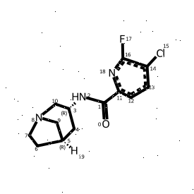 O=C(N[C@@H]1C[C@H]2CCN(C2)C1)c1ccc(Cl)c(F)n1